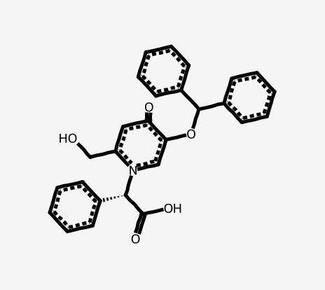 O=C(O)[C@H](c1ccccc1)n1cc(OC(c2ccccc2)c2ccccc2)c(=O)cc1CO